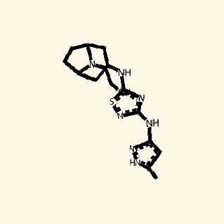 Cc1cc(Nc2nsc(NC3CC4CCC(C3)N4CCC#N)n2)n[nH]1